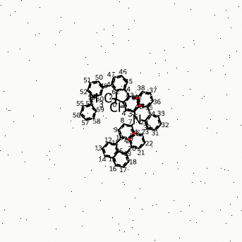 CC1(C)c2cc(N(c3ccc(-c4cccc5cccc(-c6ccccc6)c45)cc3)c3ccccc3-c3ccccc3)ccc2-c2cccc(-c3cccc(-c4ccccc4)c3)c21